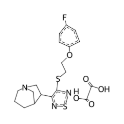 Fc1ccc(OCCSc2nsnc2C2CN3CCCC2C3)cc1.O=C(O)C(=O)O